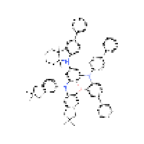 CC1(C)Cc2ccc(N3c4cc5c(cc4B4c6cc(-c7ccccc7)ccc6N(c6ccc(-c7ccccc7)cc6)c6cc(N7c8ccc(-c9ccccc9)cc8C8(C)CCCCC78C)cc3c64)CC(C)(C)C5)cc2C1